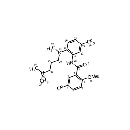 COc1ccc(Cl)cc1C(=O)Nc1cc(C(F)(F)F)ccc1N(C)CCCN(C)C